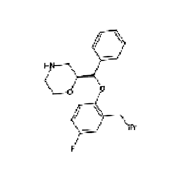 CC(C)Cc1cc(F)ccc1OC(c1ccccc1)[C@@H]1CNCCO1